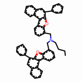 CCCCN(Cc1cccc2c1oc1c(-c3ccccc3)cc3ccccc3c12)Cc1cccc2c1oc1c(-c3ccccc3)cc3ccccc3c12